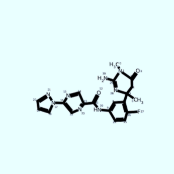 CN1C(=O)CC(C)(c2cc(NC(=O)c3cnc(-n4cccn4)cn3)ccc2F)N=C1N